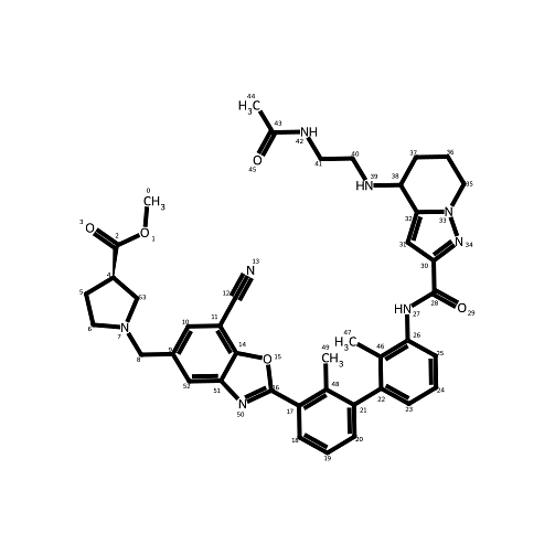 COC(=O)[C@@H]1CCN(Cc2cc(C#N)c3oc(-c4cccc(-c5cccc(NC(=O)c6cc7n(n6)CCCC7NCCNC(C)=O)c5C)c4C)nc3c2)C1